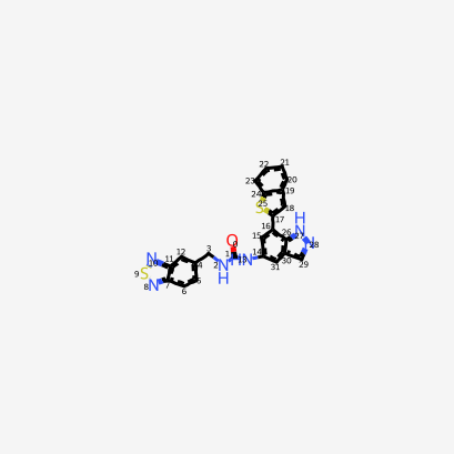 O=C(NCc1ccc2nsnc2c1)Nc1cc(-c2cc3ccccc3s2)c2[nH]ncc2c1